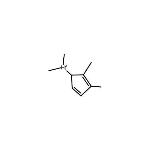 CC1=C(C)[CH]([Hf]([CH3])[CH3])C=C1